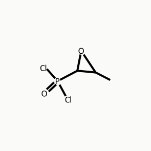 CC1OC1P(=O)(Cl)Cl